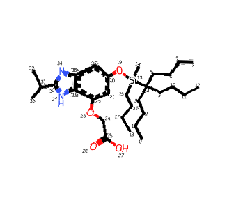 CCCCC(CCCC)(CCCC)[Si](C)(CCCC)Oc1cc(OCC(=O)O)c2[nH]c(C(C)C)nc2c1